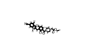 CCOC(=O)CN1CCN(C(=O)c2ccc(Cl)c(Cc3cc4c(C)cc(C#N)cc4n3C)c2Cl)CC1